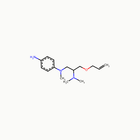 C=CCOCC(CN(C)c1ccc(N)cc1)N(C)C